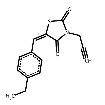 C#CCN1C(=O)S/C(=C/c2ccc(CC)cc2)C1=O